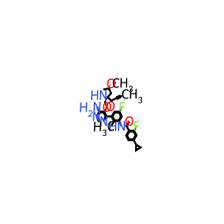 CC#CC(=O)[C@@]1(COc2c(N)ncnc2-c2cc(F)cc(NC(=O)c3ccc(C4CC4)cc3F)c2C)C[C@@H](OC)CN1